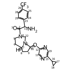 NC(C(=O)N1CC[C@@H]2CC[C@H](Oc3cnc(C4CC4)cn3)N2C1)c1ccc(C(F)(F)F)cc1